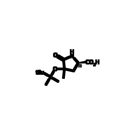 CC1(O[Si](C)(C)C(C)(C)C)C[C@@H](C(=O)O)NC1=O